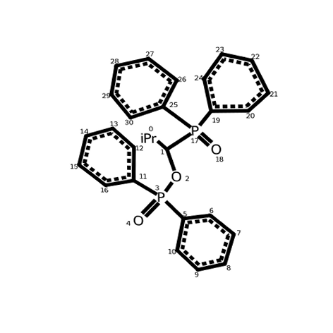 CC(C)C(OP(=O)(c1ccccc1)c1ccccc1)P(=O)(c1ccccc1)c1ccccc1